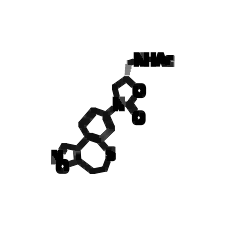 CC(=O)NC[C@H]1CN(c2ccc3c(c2)SCCc2oncc2-3)C(=O)O1